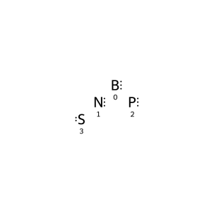 [B].[N].[P].[S]